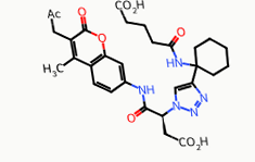 CC(=O)Cc1c(C)c2ccc(NC(=O)[C@H](CC(=O)O)n3cc(C4(NC(=O)CCCC(=O)O)CCCCC4)nn3)cc2oc1=O